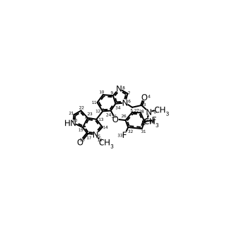 CN(C)C(=O)Cn1cnc2ccc(-c3cn(C)c(=O)c4[nH]ccc34)c(Oc3ccc(F)cc3F)c21